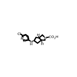 O=C(O)N1C[C@H]2C[C@H](Nc3ccc(Cl)nn3)C[C@H]2C1